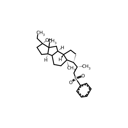 CC[C@]1(O)CC[C@@H]2C3CC[C@]4(C)[C@@H]([C@H](C)CS(=O)(=O)c5ccccc5)CC[C@H]4[C@@H]3CC21C